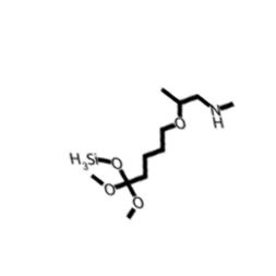 CNCC(C)OCCCCC(OC)(OC)O[SiH3]